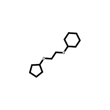 C1CCC(OCCOC2CCCC2)CC1